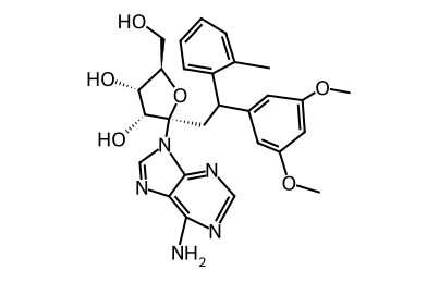 COc1cc(OC)cc(C(C[C@@]2(n3cnc4c(N)ncnc43)O[C@H](CO)[C@@H](O)[C@H]2O)c2ccccc2C)c1